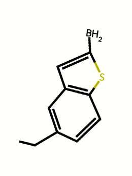 Bc1cc2cc(CC)ccc2s1